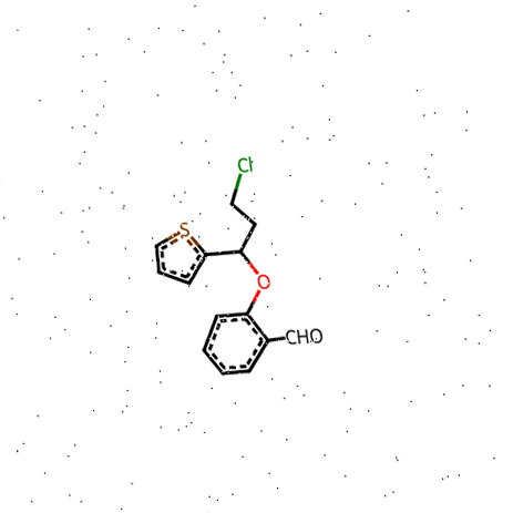 O=Cc1ccccc1OC(CCCl)c1cccs1